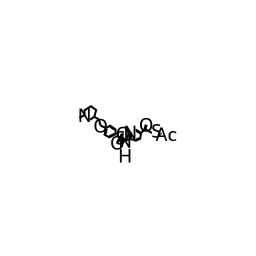 CC(=O)SCC(=O)c1ccc(NS(=O)(=O)c2ccc(OCC3CCCN(C)C3)cc2)nc1